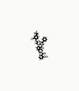 O=C(Cn1c2c(c(=O)n3nc(-c4ccccc4)nc13)C1(CC2)CCN(C(=O)c2ncccc2O)CC1)Nc1ccc(C(F)(F)F)cc1Cl